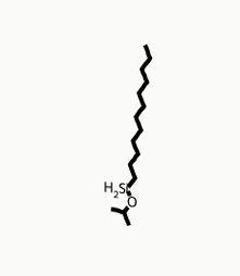 CCCCCCCCCCCC[SiH2]OC(C)C